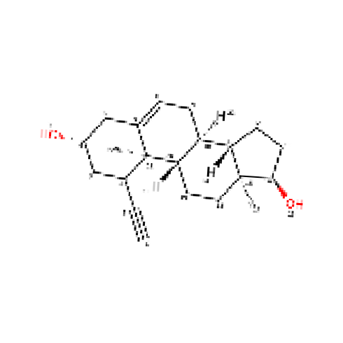 C#CC1C[C@H](O)CC2=CC[C@H]3[C@@H]4CC[C@@H](O)[C@@]4(C)CC[C@@H]3[C@]21C